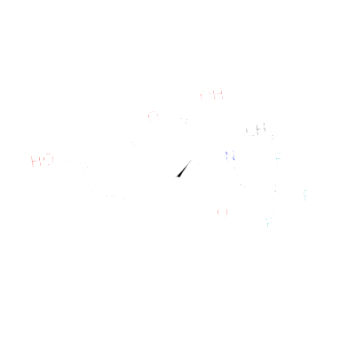 CN(C(=O)C(F)(F)F)[C@@H](Cc1ccc(O)cc1)C(=O)O